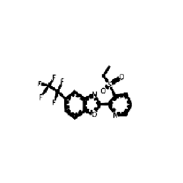 CCS(=O)(=O)c1cccnc1-c1nc2cc(C(F)(F)C(F)(F)F)ccc2o1